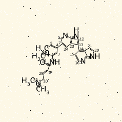 C=N/C(=C\C(=C/C)c1cnc2[nH]cc(-c3ccnc4[nH]ccc34)c2c1)NC(=O)/C=C/CN(C)C